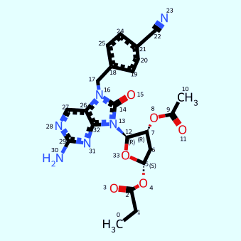 CCC(=O)O[C@H]1C[C@@H](OC(C)=O)[C@H](n2c(=O)n(Cc3ccc(C#N)cc3)c3cnc(N)nc32)O1